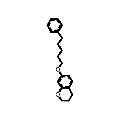 c1ccc(CCCCCOc2ccc3c(c2)OCCC3)cc1